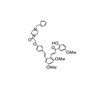 COc1cc(/C=C/c2ccc(OCC(=O)N3CCN(Cc4ccccc4)CC3)cc2)c(/C=C/C(=O)c2cc(OC)ccc2O)c(OC)c1